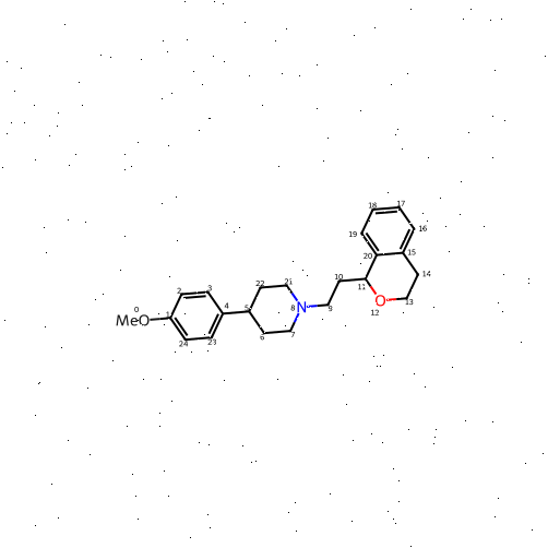 COc1ccc(C2CCN(CCC3OCCc4ccccc43)CC2)cc1